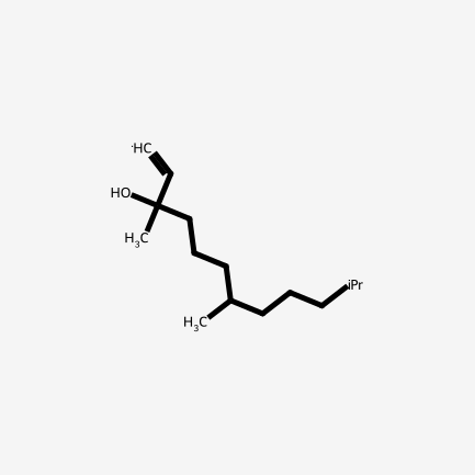 [CH]=CC(C)(O)CCCC(C)CCCC(C)C